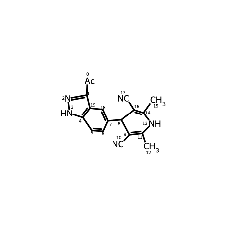 CC(=O)c1n[nH]c2ccc(C3C(C#N)=C(C)NC(C)=C3C#N)cc12